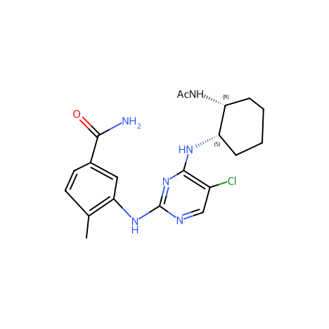 CC(=O)N[C@@H]1CCCC[C@@H]1Nc1nc(Nc2cc(C(N)=O)ccc2C)ncc1Cl